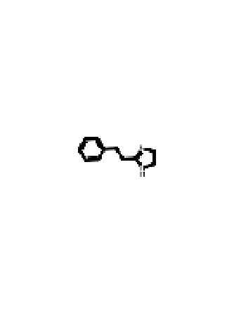 [c]1ccccc1CCC1=NCCN1